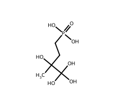 CC(O)(CCP(=O)(O)O)C(O)(O)O